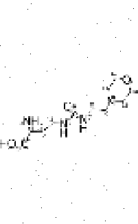 N[C@@H](CCNC(=O)NCCN1CCOCC1)C(=O)O